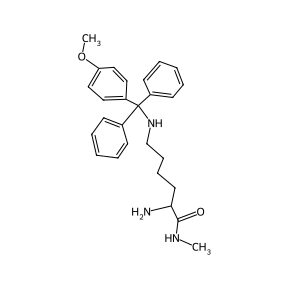 CNC(=O)C(N)CCCCNC(c1ccccc1)(c1ccccc1)c1ccc(OC)cc1